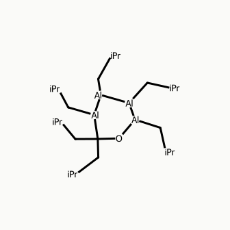 CC(C)[CH2][Al]1[O][C](CC(C)C)(CC(C)C)[Al]([CH2]C(C)C)[Al]([CH2]C(C)C)[Al]1[CH2]C(C)C